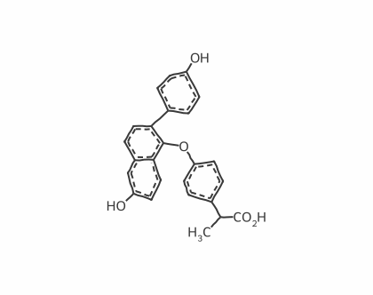 CC(C(=O)O)c1ccc(Oc2c(-c3ccc(O)cc3)ccc3cc(O)ccc23)cc1